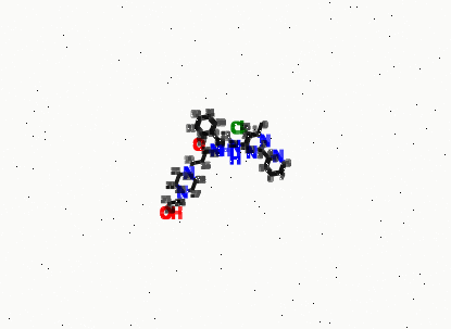 Cc1nc(-c2ccccn2)nc(NC[C@H](NC(=O)CCN2CCN(CCO)CC2)c2ccccc2)c1Cl